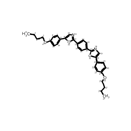 CCCCOc1ccc(-c2cnc(-c3ccc(-c4ncc(-c5ccc(OCCCC)cc5)o4)cc3)o2)cc1